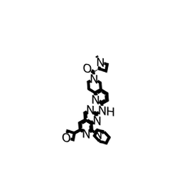 CN1CC[C@@H]1C(=O)N1CCc2nc(Nc3ncc4cc(C5COC5)nc(N5C6CCC5CC6)c4n3)ccc2C1